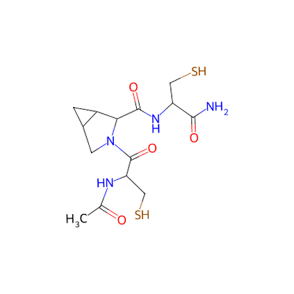 CC(=O)NC(CS)C(=O)N1CC2CC2C1C(=O)NC(CS)C(N)=O